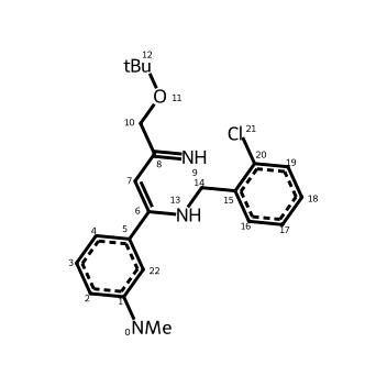 CNc1cccc(/C(=C/C(=N)COC(C)(C)C)NCc2ccccc2Cl)c1